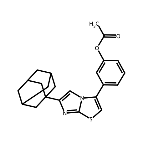 CC(=O)Oc1cccc(-c2csc3nc(C45CC6CC(CC(C6)C4)C5)cn23)c1